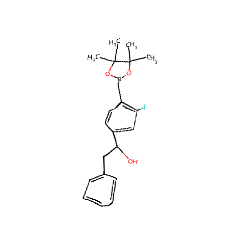 CC1(C)OB(c2ccc(C(O)Cc3ccccc3)cc2F)OC1(C)C